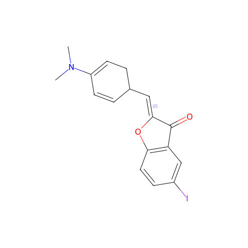 CN(C)C1=CCC(/C=C2\Oc3ccc(I)cc3C2=O)C=C1